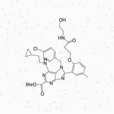 COC(=O)c1nc(NCCC2CC2)c2c(n1)nc(-c1cc(C)ccc1OCCC(=O)NCCO)n2Cc1ccc(Cl)cc1